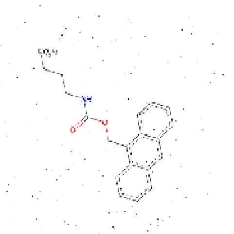 O=C(O)CCCNC(=O)OCc1c2ccccc2cc2ccccc12